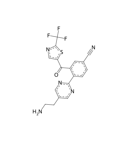 N#Cc1ccc(-c2ncc(CCN)cn2)c(C(=O)c2cnc(C(F)(F)F)s2)c1